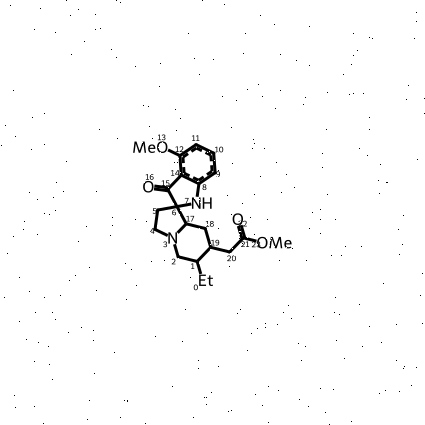 CCC1CN2CCC3(Nc4cccc(OC)c4C3=O)C2CC1CC(=O)OC